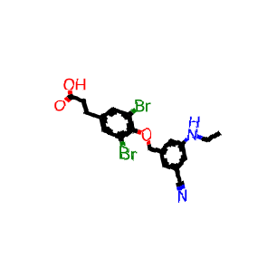 CCNc1cc(C#N)cc(COc2c(Br)cc(CCC(=O)O)cc2Br)c1